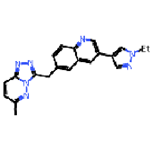 CCn1cc(-c2cnc3ccc(Cc4nnc5ccc(C)nn45)cc3c2)cn1